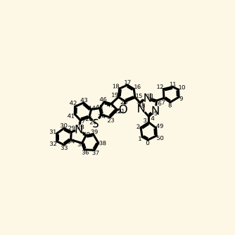 c1ccc(-c2nc(-c3ccccc3)nc(-c3cccc4c3oc3cc5sc6c(-n7c8ccccc8c8ccccc87)cccc6c5cc34)n2)cc1